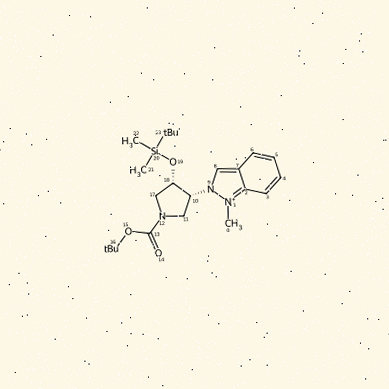 C[n+]1c2ccccc2cn1[C@@H]1CN(C(=O)OC(C)(C)C)C[C@@H]1O[Si](C)(C)C(C)(C)C